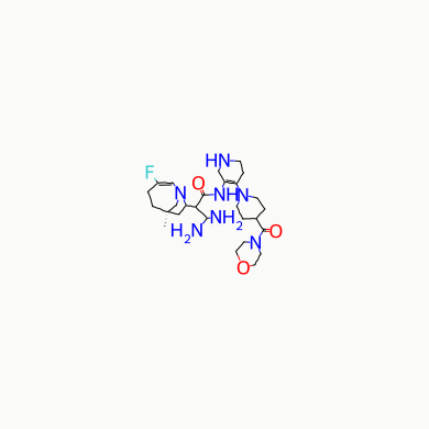 C[C@]12CCC(F)=CN(C1)C(C(C(=O)NC1=C(N3CCC(C(=O)N4CCOCC4)CC3)CCNC1)C(N)N)C2